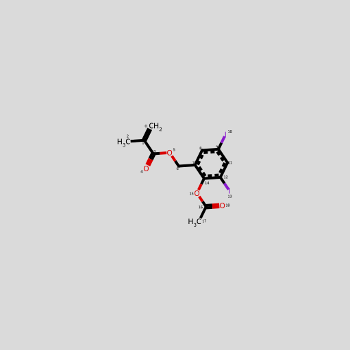 C=C(C)C(=O)OCc1cc(I)cc(I)c1OC(C)=O